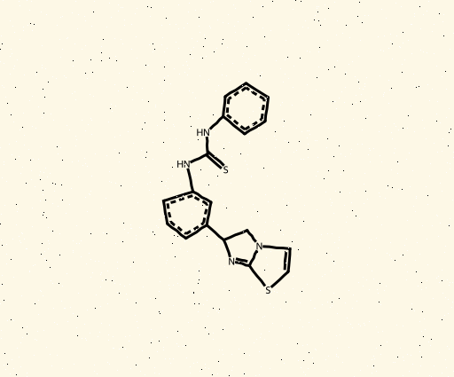 S=C(Nc1ccccc1)Nc1cccc(C2CN3C=CSC3=N2)c1